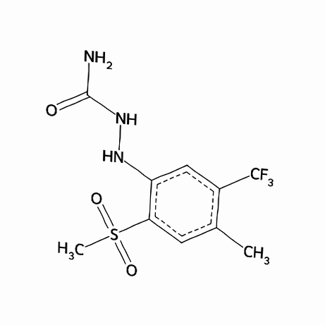 Cc1cc(S(C)(=O)=O)c(NNC(N)=O)cc1C(F)(F)F